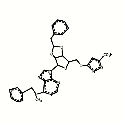 CN(Cc1ccccc1)c1ncnc2c1ncn2C1OC(COc2cc(C(=O)O)on2)C2OC(Cc3ccccc3)OC21